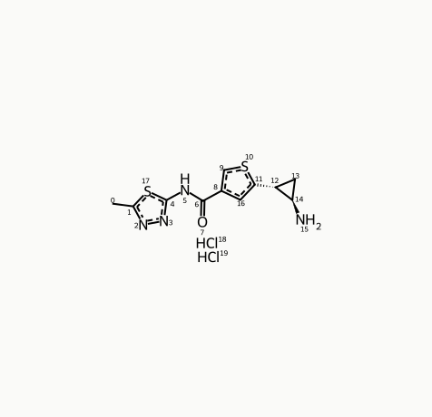 Cc1nnc(NC(=O)c2csc([C@@H]3C[C@H]3N)c2)s1.Cl.Cl